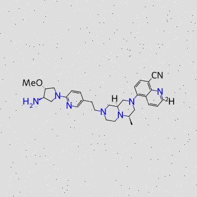 [2H]c1ccc2c(N3C[C@@H]4CN(CCc5ccc(N6C[C@@H](N)[C@H](OC)C6)nc5)CCN4[C@H](C)C3)ccc(C#N)c2n1